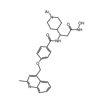 CC(=O)N1CCC(C(CC(=O)NO)NC(=O)c2ccc(OCc3cc(C)nc4ccccc34)cc2)CC1